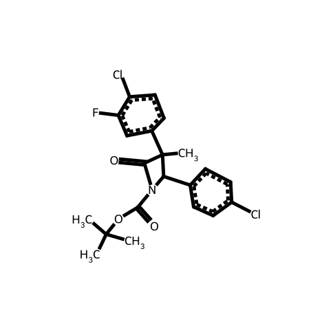 CC(C)(C)OC(=O)N1C(=O)C(C)(c2ccc(Cl)c(F)c2)C1c1ccc(Cl)cc1